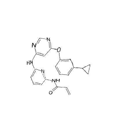 C=CC(=O)Nc1cccc(Nc2cc(Oc3cccc(C4CC4)c3)ncn2)n1